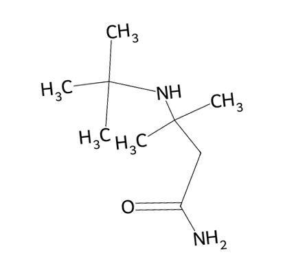 CC(C)(C)NC(C)(C)CC(N)=O